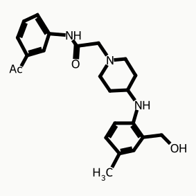 CC(=O)c1cccc(NC(=O)CN2CCC(Nc3ccc(C)cc3CO)CC2)c1